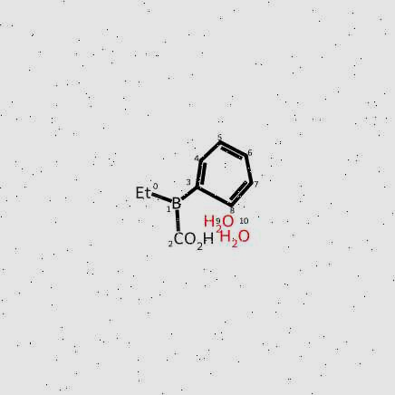 CCB(C(=O)O)c1ccccc1.O.O